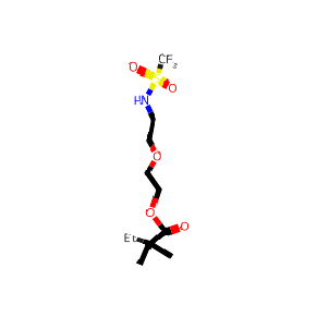 CCC(C)(C)C(=O)OCCOCCNS(=O)(=O)C(F)(F)F